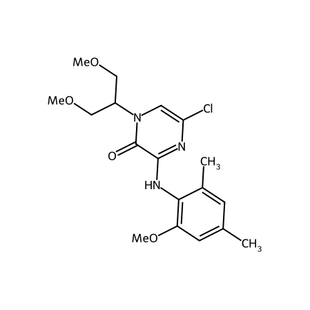 COCC(COC)n1cc(Cl)nc(Nc2c(C)cc(C)cc2OC)c1=O